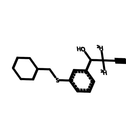 [2H]C([2H])(C#N)C(O)c1cccc(SCC2CCCCC2)c1